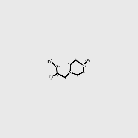 CCN1CCN(CC(C)OC(C)C)CC1